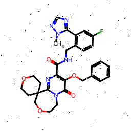 Cn1ncnc1-c1cc(F)ccc1CNC(=O)c1nc2n(c(=O)c1OCc1ccccc1)CCOCC21CCOCC1